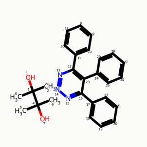 CC(C)(O)C(C)(C)O.c1ccc(-c2nnnc(-c3ccccc3)c2-c2ccccc2)cc1